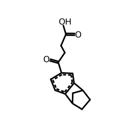 O=C(O)CCC(=O)c1ccc2c(c1)C1CCC2C1